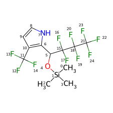 C[Si](C)(C)OC(c1[nH]ccc1C(F)(F)F)C(F)(F)C(F)(F)C(F)(F)F